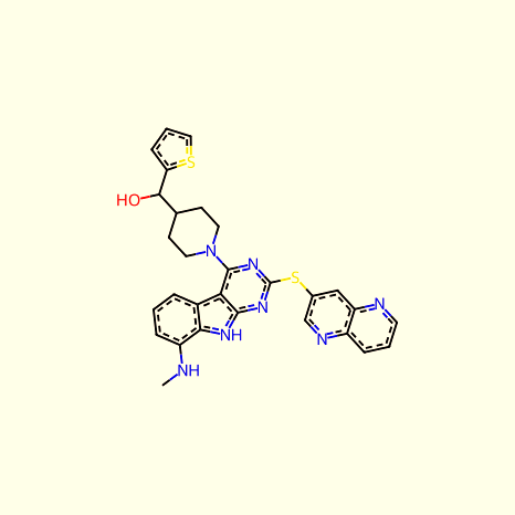 CNc1cccc2c1[nH]c1nc(Sc3cnc4cccnc4c3)nc(N3CCC(C(O)c4cccs4)CC3)c12